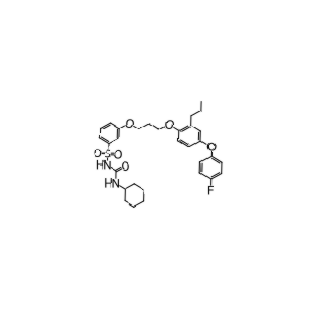 CCCc1cc(Oc2ccc(F)cc2)ccc1OCCCOc1cccc(S(=O)(=O)NC(=O)NC2CCCCC2)c1